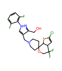 OCc1nn(-c2c(F)cccc2F)cc1CN1CCC2(CC1)OCC(F)(F)C1C=C(Cl)SC12